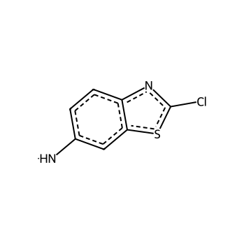 [NH]c1ccc2nc(Cl)sc2c1